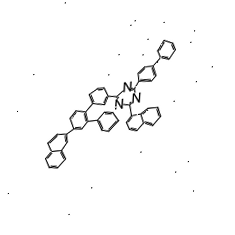 c1ccc(-c2ccc(-c3nc(-c4cccc(-c5ccc(-c6ccc7ccccc7c6)cc5-c5ccccc5)c4)nc(-c4cccc5ccccc45)n3)cc2)cc1